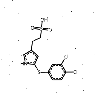 O=S(=O)(O)CCc1c[nH]c(Sc2ccc(Cl)c(Cl)c2)c1